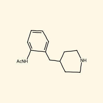 CC(=O)Nc1ccccc1CC1CCNCC1